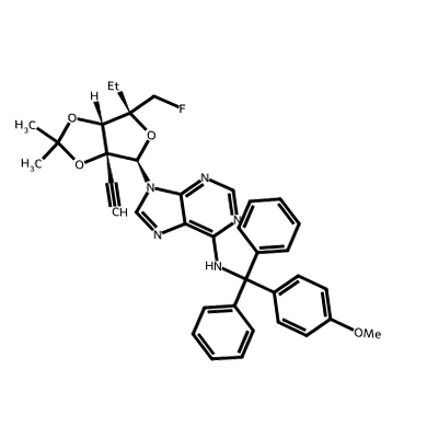 C#C[C@@]12OC(C)(C)O[C@@H]1[C@](CC)(CF)O[C@H]2n1cnc2c(NC(c3ccccc3)(c3ccccc3)c3ccc(OC)cc3)ncnc21